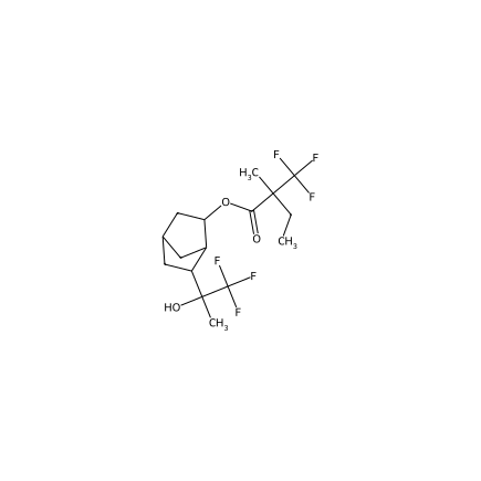 CCC(C)(C(=O)OC1CC2CC1C(C(C)(O)C(F)(F)F)C2)C(F)(F)F